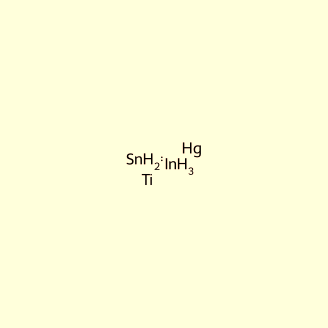 [Hg].[InH3].[SnH2].[Ti]